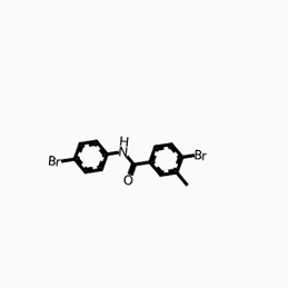 Cc1cc(C(=O)Nc2ccc(Br)cc2)ccc1Br